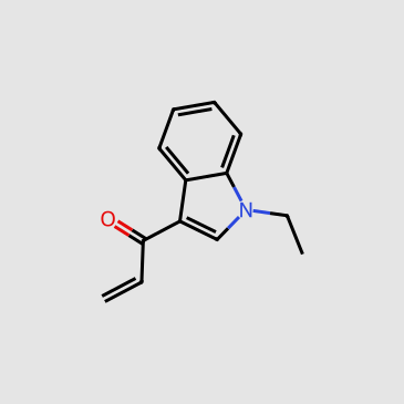 C=CC(=O)c1cn(CC)c2ccccc12